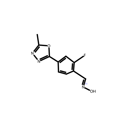 Cc1nnc(-c2ccc(/C=N/O)c(F)c2)o1